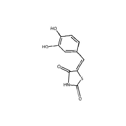 O=C1NC(=O)/C(=C\c2ccc(O)c(O)c2)S1